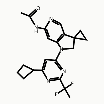 CC(=O)Nc1cc2c(cn1)C1(CC1)CN2c1cc(C2CCC2)nc(C(C)(F)F)n1